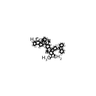 C=Cc1c(/C=C\C)ccc2c1c1cc(-n3c4ccccc4c4ccccc43)ccc1n2-c1cc(C#N)c(-n2c3ccccc3c3c4c(ccc32)-c2ccccc2C4(C)C)cc1C#N